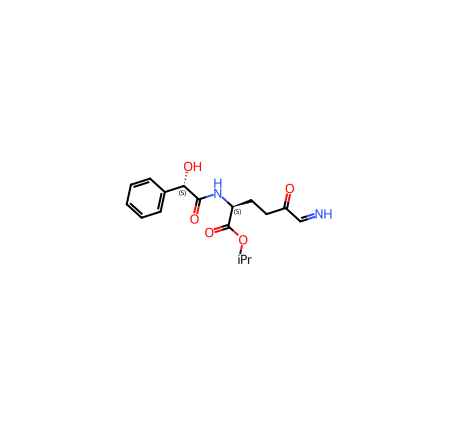 CC(C)OC(=O)[C@H](CCC(=O)C=N)NC(=O)[C@@H](O)c1ccccc1